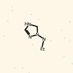 CC[N]N1CNC=N1